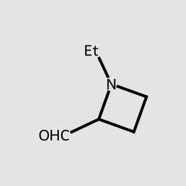 CCN1CCC1C=O